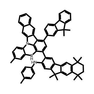 Cc1ccc(Nc2cc3c(cc2-c2cc(-c4ccc5c(c4)C(C)(C)c4ccccc4-5)c4c5cc6ccccc6cc5n5c4c2Bc2cc(C)ccc2-5)-c2cc4c(cc2C3(C)C)C(C)(C)CCC4(C)C)cc1